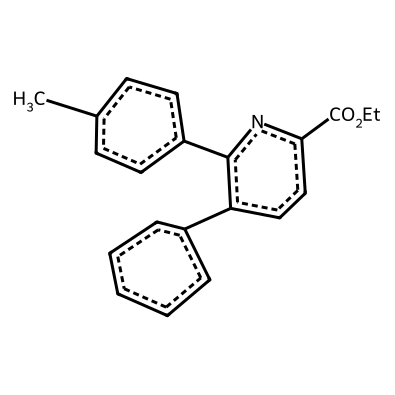 CCOC(=O)c1ccc(-c2ccccc2)c(-c2ccc(C)cc2)n1